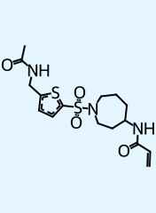 C=CC(=O)NC1CCCN(S(=O)(=O)c2ccc(CNC(C)=O)s2)CC1